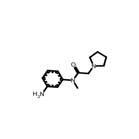 CN(C(=O)CN1CCCC1)c1cccc(N)c1